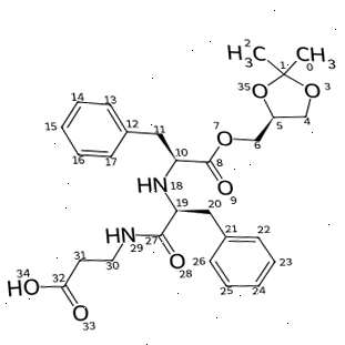 CC1(C)OC[C@@H](COC(=O)[C@H](Cc2ccccc2)N[C@@H](Cc2ccccc2)C(=O)NCCC(=O)O)O1